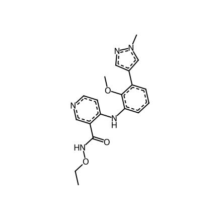 CCONC(=O)c1cnccc1Nc1cccc(-c2cnn(C)c2)c1OC